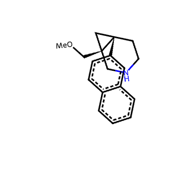 COC[C@]12CNCC[C@@]1(c1ccc3ccccc3c1)C2